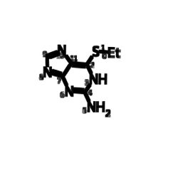 CCSc1[nH]c(N)nc2ncnc1-2